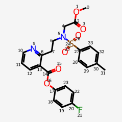 COC(=O)CN(CCc1ncccc1C(=O)Oc1ccc(F)cc1)S(=O)(=O)c1ccc(C)cc1